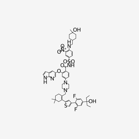 CCC(O)(CC)c1cc(F)c(-c2csc(C3=C(CN4CCN(c5ccc(C(=O)NS(=O)(=O)c6ccc(NCC7CCC(C)(O)CC7)c([N+](=O)[O-])c6)c(Oc6cnc7[nH]ccc7c6)c5)CC4)CCC(C)(C)C3)c2)c(F)c1